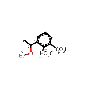 CCOC(C)c1cccc(C(=O)O)c1C(=O)O